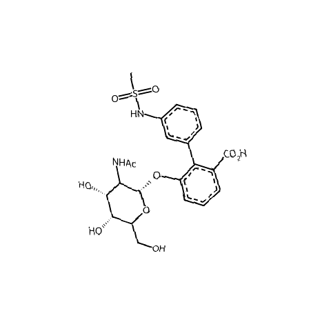 CC(=O)NC1[C@H](Oc2cccc(C(=O)O)c2-c2cccc(NS(C)(=O)=O)c2)OC(CO)[C@H](O)[C@@H]1O